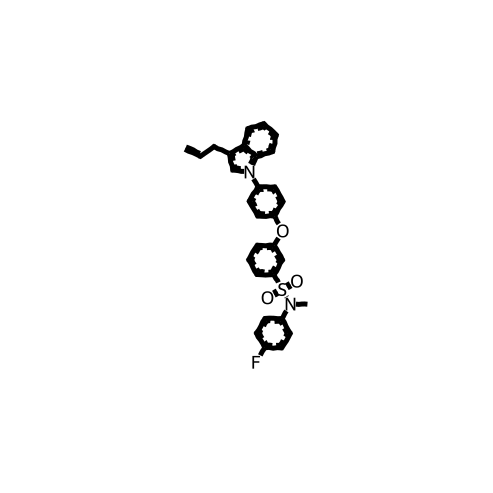 C=CCc1cn(-c2ccc(Oc3cccc(S(=O)(=O)N(C)c4ccc(F)cc4)c3)cc2)c2ccccc12